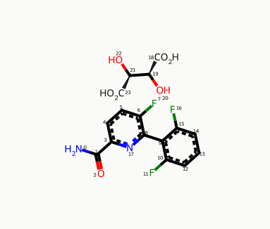 NC(=O)c1ccc(F)c(-c2c(F)cccc2F)n1.O=C(O)[C@@H](O)[C@H](O)C(=O)O